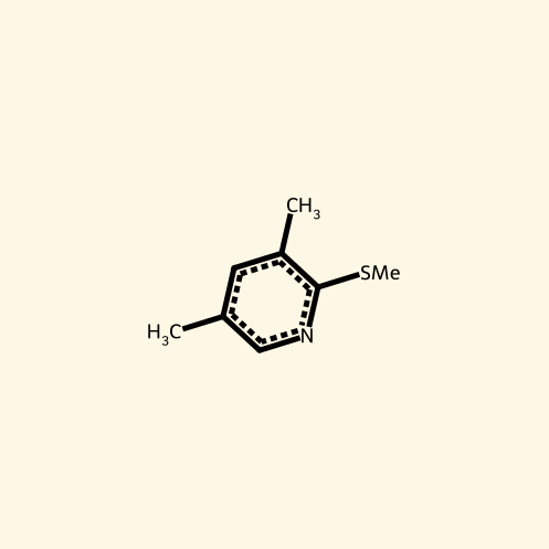 CSc1ncc(C)cc1C